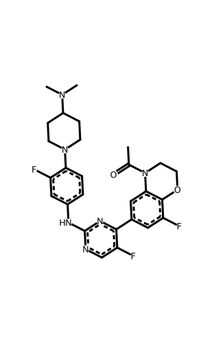 CC(=O)N1CCOc2c(F)cc(-c3nc(Nc4ccc(N5CCC(N(C)C)CC5)c(F)c4)ncc3F)cc21